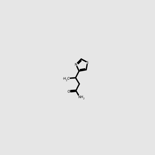 [CH2]C(CC(N)=O)c1cscn1